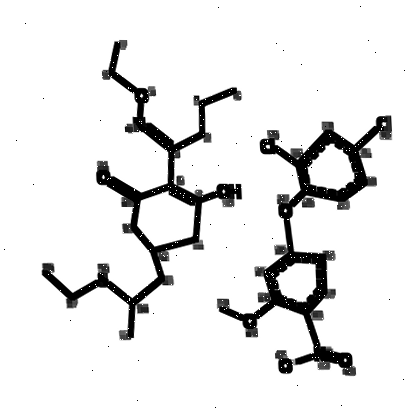 CCCC(=NOCC)C1=C(O)CC(CC(C)SCC)CC1=O.COc1cc(Oc2ccc(Cl)cc2Cl)ccc1[N+](=O)[O-]